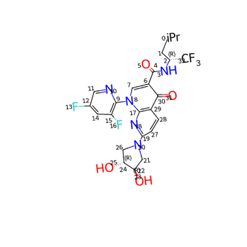 CC(C)C[C@@H](NC(=O)c1cn(-c2ncc(F)cc2F)c2nc(N3C[C@@H](O)[C@H](O)C3)ccc2c1=O)C(F)(F)F